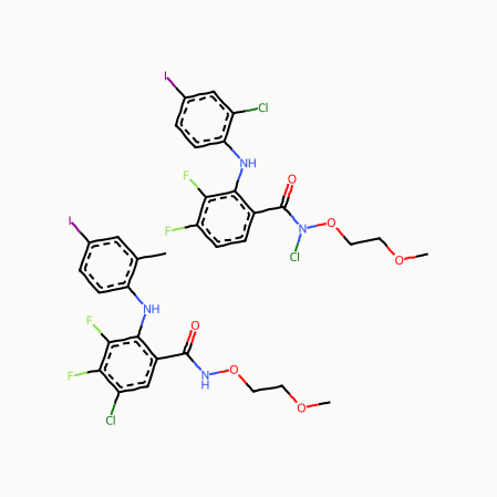 COCCON(Cl)C(=O)c1ccc(F)c(F)c1Nc1ccc(I)cc1Cl.COCCONC(=O)c1cc(Cl)c(F)c(F)c1Nc1ccc(I)cc1C